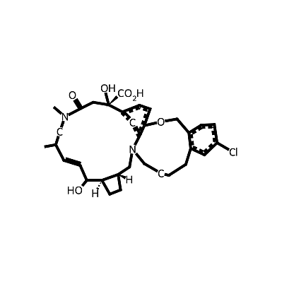 CC1/C=C/C(O)[C@@H]2CC[C@H]2CN2CCCCc3cc(Cl)ccc3COc3ccc(cc32)[C@](O)(C(=O)O)CC(=O)N(C)C1